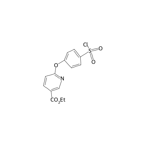 CCOC(=O)c1ccc(Oc2ccc(S(=O)(=O)Cl)cc2)nc1